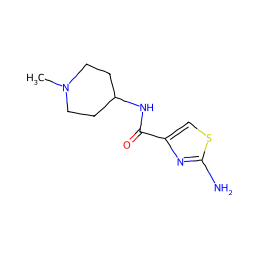 CN1CCC(NC(=O)c2csc(N)n2)CC1